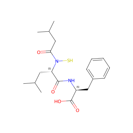 CC(C)CC(=O)N(S)[C@@H](CC(C)C)C(=O)N[C@@H](Cc1ccccc1)C(=O)O